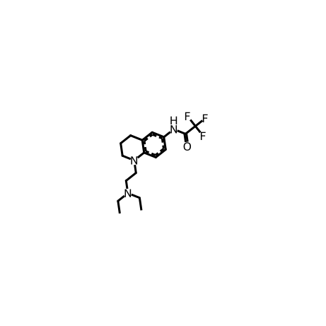 CCN(CC)CCN1CCCc2cc(NC(=O)C(F)(F)F)ccc21